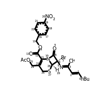 CCCCC=CC(Cl)=N[C@]1(Br)C(=O)N2C(C(=O)OCc3ccc([N+](=O)[O-])cc3)=C(COC(C)=O)CS[C@@H]21